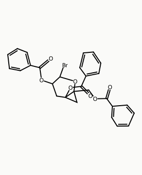 O=C(OCC12CC1(OC(=O)c1ccccc1)CC(OC(=O)c1ccccc1)C(Br)O2)c1ccccc1